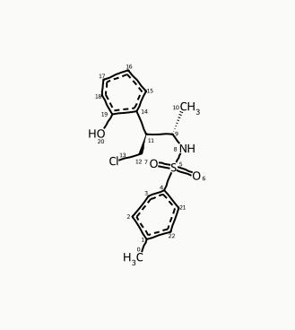 Cc1ccc(S(=O)(=O)N[C@@H](C)[C@@H](CCl)c2ccccc2O)cc1